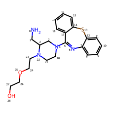 NCC1CN(C2=Nc3ccccc3Sc3ccccc32)CCN1CCOCCO